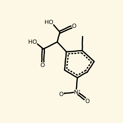 Cc1ccc([N+](=O)[O-])cc1C(C(=O)O)C(=O)O